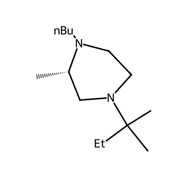 CCCCN1CCN(C(C)(C)CC)C[C@@H]1C